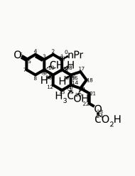 CCC[C@@H]1CC2=CC(=O)CC[C@]2(C)[C@H]2CC[C@@]3(C)[C@@H](CC[C@@]3(O)CCOC(=O)O)[C@H]12